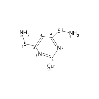 NSc1cc(SN)ncn1.[Cu]